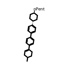 CCCCC[C@H]1CC[C@H](c2ccc(-c3ccc(C4=CCC(C)CC4)cc3)cc2)CC1